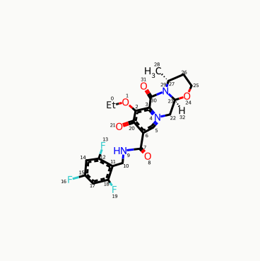 CCOc1c2n(cc(C(=O)NCc3c(F)cc(F)cc3F)c1=O)C[C@@H]1OCC[C@@H](C)N1C2=O